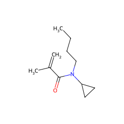 C=C(C)C(=O)N(CCCC)C1CC1